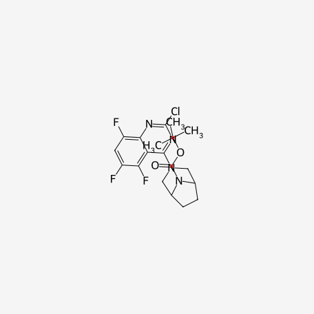 CC(C)(C)OC(=O)N1C2CCC1CN(c1nc(Cl)nc3c(F)cc(F)c(F)c13)C2